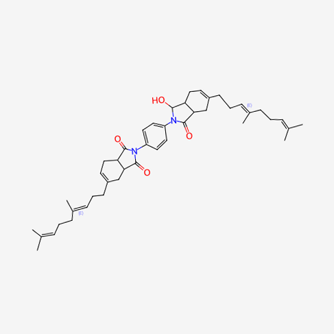 CC(C)=CCC/C(C)=C/CCC1=CCC2C(=O)N(c3ccc(N4C(=O)C5CC(CC/C=C(\C)CCC=C(C)C)=CCC5C4O)cc3)C(=O)C2C1